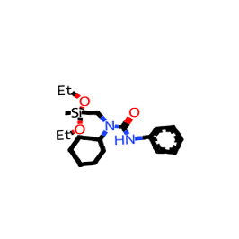 CCO[Si](C)(CN(C(=O)Nc1ccccc1)C1CCCCC1)OCC